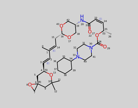 CC(/C=C/[C@@H]1C[C@]2(CO2)CC(C)(C)O1)=C\C[C@H]1OC[C@@H](NC(=O)/C=C\[C@H](C)OC(=O)N2CCN(C3CCCCC3)CC2)CO1